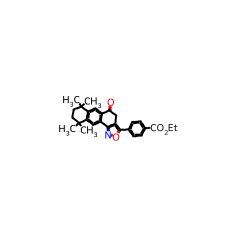 CCOC(=O)c1ccc(-c2onc3c2CC(=O)c2cc4c(cc2-3)C(C)(C)CCC4(C)C)cc1